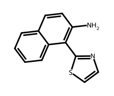 Nc1ccc2ccccc2c1-c1nccs1